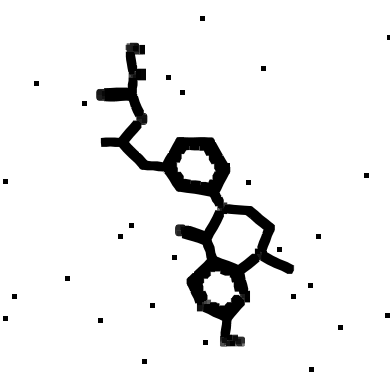 CSc1ncc2c(n1)N(C)CCN(c1cccc(CC(C)OC(=O)NC(C)(C)C)c1)C2=O